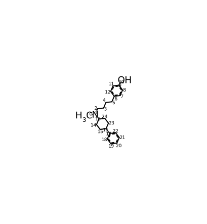 CN(CCCCc1ccc(O)cc1)[C@H]1CC[C@H](c2ccccc2)CC1